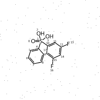 O=S(O)(O)(c1ccccc1)c1cc(F)cc(F)c1